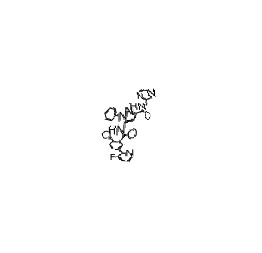 O=C(NCc1cnccn1)c1cc(NC(=O)c2cc(-c3ncccc3F)ccc2Cl)n(-c2ccccc2)n1